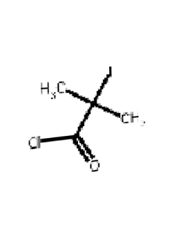 CC(C)(I)C(=O)Cl